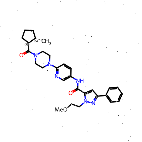 COCCn1nc(-c2ccccc2)cc1C(=O)Nc1ccc(N2CCN(C(=O)[C@H]3CCC[C@@H]3C)CC2)nc1